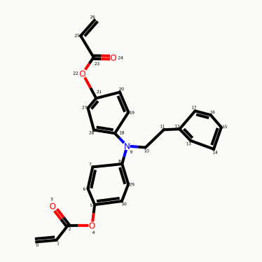 C=CC(=O)Oc1ccc(N(CCc2ccccc2)c2ccc(OC(=O)C=C)cc2)cc1